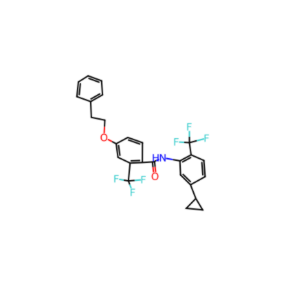 O=C(Nc1cc(C2CC2)ccc1C(F)(F)F)c1ccc(OCCc2ccccc2)cc1C(F)(F)F